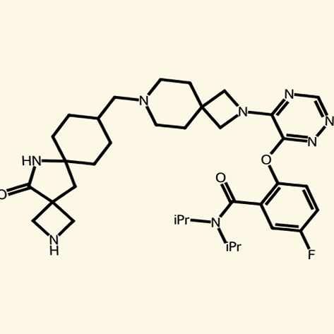 CC(C)N(C(=O)c1cc(F)ccc1Oc1nncnc1N1CC2(CCN(CC3CCC4(CC3)CC3(CNC3)C(=O)N4)CC2)C1)C(C)C